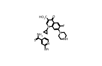 CCCc1cc(C(N)=S)ccn1.O=C(O)c1cn(C2CC2)c2cc(N3CCNCC3)c(F)cc2c1=O